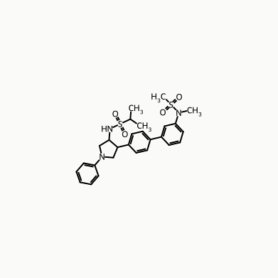 CC(C)S(=O)(=O)NC1CN(c2ccccc2)CC1c1ccc(-c2cccc(N(C)S(C)(=O)=O)c2)cc1